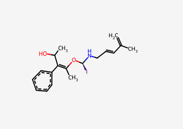 C=C(C)/C=C/CN[C@@H](I)O/C(C)=C(/c1ccccc1)C(C)O